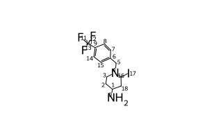 NC1CCN(Cc2ccc(C(F)(F)F)cc2)C(I)C1